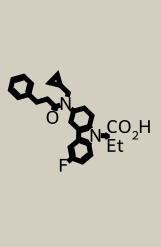 CCC(C(=O)O)n1c2c(c3cc(F)ccc31)CC(N(CC1CC1)C(=O)CCc1ccccc1)CC2